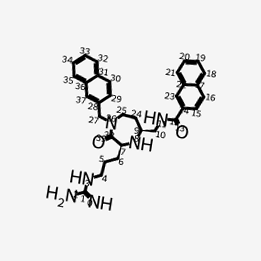 N=C(N)NCCC[C@@H]1N[C@H](CNC(=O)c2ccc3ccccc3c2)CCN(Cc2ccc3ccccc3c2)C1=O